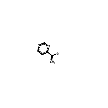 C=C(Br)c1ccncn1